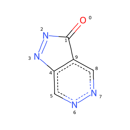 O=C1N=Nc2cnncc21